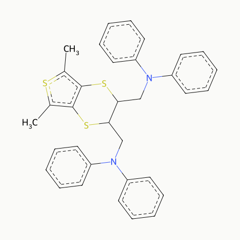 Cc1sc(C)c2c1SC(CN(c1ccccc1)c1ccccc1)C(CN(c1ccccc1)c1ccccc1)S2